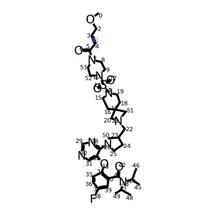 COC/C=C/C(=O)N1CCN(S(=O)(=O)N2CCC3(CC2)CN(CC2CCN(c4ncncc4Oc4ccc(F)cc4C(=O)N(C(C)C)C(C)C)C2)C3)CC1